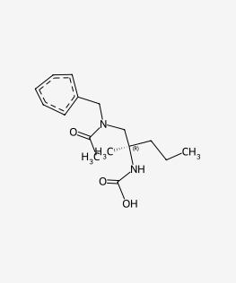 CCC[C@](C)(CN(Cc1ccccc1)C(C)=O)NC(=O)O